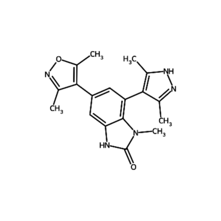 Cc1n[nH]c(C)c1-c1cc(-c2c(C)noc2C)cc2[nH]c(=O)n(C)c12